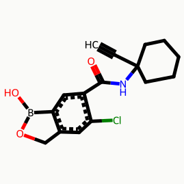 C#CC1(NC(=O)c2cc3c(cc2Cl)COB3O)CCCCC1